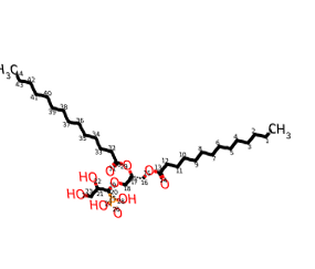 CCCCCCCCCCCCCC(=O)OC[C@H](COC(C(O)CO)P(=O)(O)O)OC(=O)CCCCCCCCCCCCC